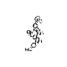 O=C1OCCN1c1ccc2nc(Nc3cc(Cn4cccn4)cc(NC4CCC(O)CC4)n3)sc2c1